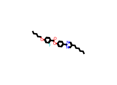 CCCCCCc1cnc(-c2ccc(OC(=O)c3ccc(OCCCCC)cc3F)cc2)nc1